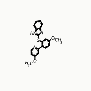 COc1ccnc(-c2ccc(OC)cc2Sc2nc3ccccc3[nH]2)c1